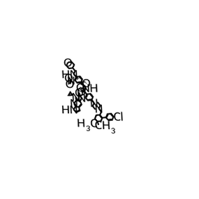 CC1(C)CCC(CN2CCN(c3ccc(C(=O)NS(=O)(=O)c4ccc(NCC5CCOCC5)c([N+](=O)[O-])c4)c(-n4c(=O)n(C5CC5)c5nc6[nH]ccc6cc54)c3)CC2)=C(c2ccc(Cl)cc2)C1